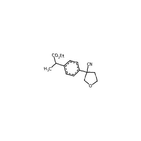 CCOC(=O)C(C)c1ccc(C2(C#N)CCOC2)cc1